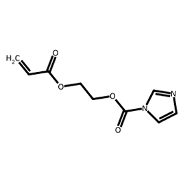 C=CC(=O)OCCOC(=O)n1ccnc1